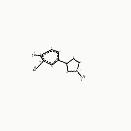 CCCN1CCC(c2ccc(Cl)c(Cl)c2)C1